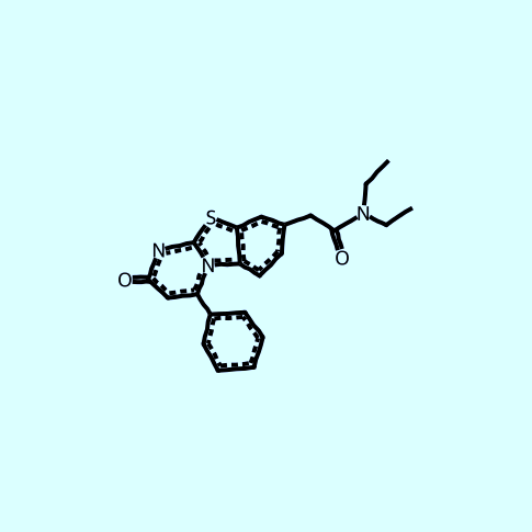 CCN(CC)C(=O)Cc1ccc2c(c1)sc1nc(=O)cc(-c3ccccc3)n12